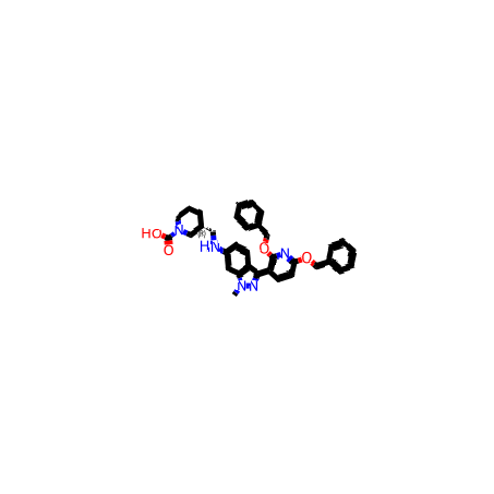 Cn1nc(-c2ccc(OCc3ccccc3)nc2OCc2ccccc2)c2ccc(NC[C@H]3CCCN(C(=O)O)C3)cc21